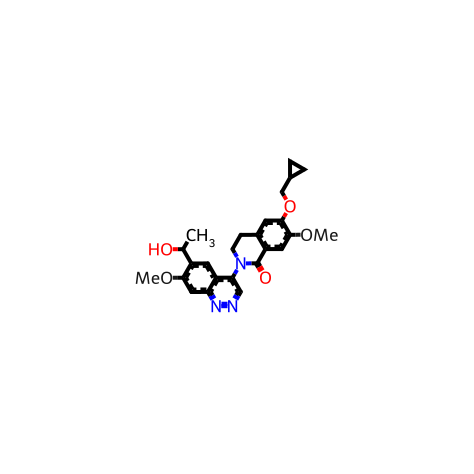 COc1cc2c(cc1OCC1CC1)CCN(c1cnnc3cc(OC)c(C(C)O)cc13)C2=O